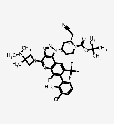 Cc1c(Cl)cccc1-c1c(C(F)(F)F)cc2c(nc(N3CC(C)(N(C)C)C3)c3nnn([C@H]4CCN(C(=O)OC(C)(C)C)[C@H](CC#N)C4)c32)c1F